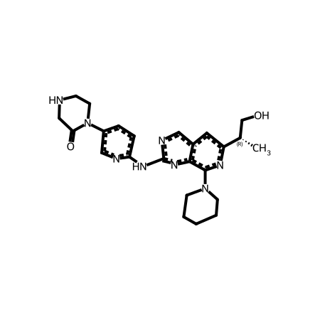 C[C@@H](CO)c1cc2cnc(Nc3ccc(N4CCNCC4=O)cn3)nc2c(N2CCCCC2)n1